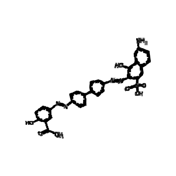 Nc1ccc2cc(S(=O)(=O)O)c(N=Nc3ccc(-c4ccc(N=Nc5ccc(O)c(C(=O)O)c5)cc4)cc3)c(O)c2c1